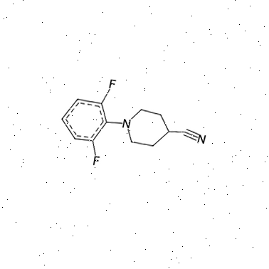 N#CC1CCN(c2c(F)cccc2F)CC1